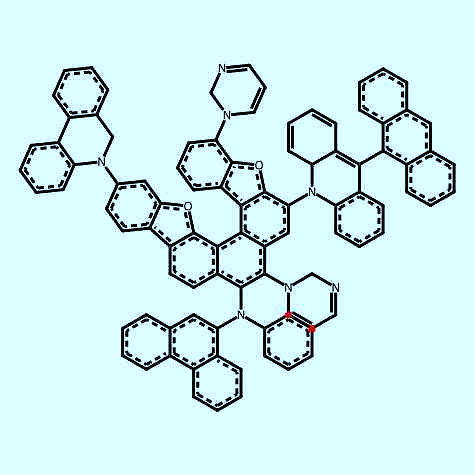 C1=CC2=C(c3c4ccccc4cc4ccccc34)c3ccccc3N(c3cc4c(N5C=CC=NC5)c(N(c5ccccc5)c5cc6ccccc6c6ccccc56)c5ccc6c7ccc(N8Cc9ccccc9-c9ccccc98)cc7oc6c5c4c4c3oc3c(N5C=CC=NC5)cccc34)C2C=C1